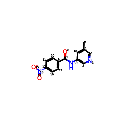 Cc1cncc(NC(=O)c2ccc([N+](=O)[O-])cc2)c1